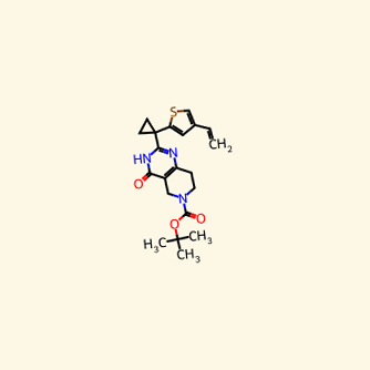 C=Cc1csc(C2(c3nc4c(c(=O)[nH]3)CN(C(=O)OC(C)(C)C)CC4)CC2)c1